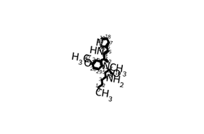 CCCCCCC(C)(C(N)=O)n1cc(-c2cc3cccnc3[nH]2)c2cc(OC)ccc21